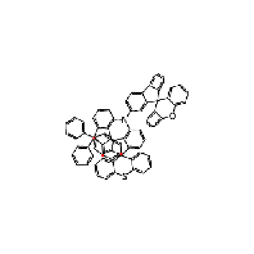 c1ccc(C2(c3ccccc3)c3ccccc3-c3c(N(c4ccc5c(c4)C4(c6ccccc6Oc6ccccc64)c4ccccc4-5)c4cccc5c4-c4ccccc4C54c5ccccc5Sc5ccccc54)cccc32)cc1